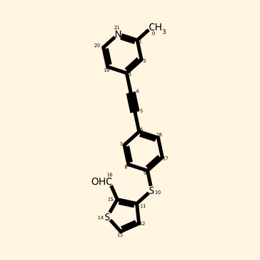 Cc1cc(C#Cc2ccc(Sc3ccsc3C=O)cc2)ccn1